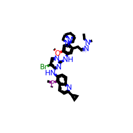 CCN(C)/N=C\Cc1cc(Nc2ncc(Br)c(Nc3ccc4nc(C5CC5)ccc4c3P(C)C)n2)c(OC)cc1N1C2CC1CN(C)C2